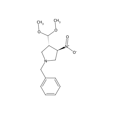 COC(OC)[C@H]1CN(Cc2ccccc2)C[C@@H]1[N+](=O)[O-]